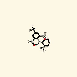 Cc1cccc([N+](=O)[O-])c1N(C=O)c1c([N+](=O)[O-])cc(C(F)(F)F)cc1[N+](=O)[O-]